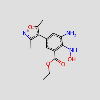 CCOC(=O)c1cc(-c2c(C)noc2C)cc(N)c1NO